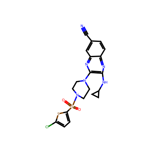 N#Cc1ccc2nc(NC3CC3)c(N3CCN(S(=O)(=O)c4ccc(Cl)s4)CC3)nc2c1